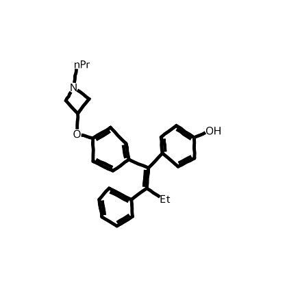 CCCN1CC(Oc2ccc(C(=C(CC)c3ccccc3)c3ccc(O)cc3)cc2)C1